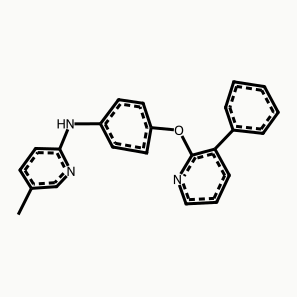 Cc1ccc(Nc2ccc(Oc3ncccc3-c3ccccc3)cc2)nc1